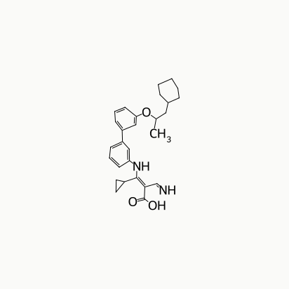 CC(CC1CCCCC1)Oc1cccc(-c2cccc(N/C(=C(\C=N)C(=O)O)C3CC3)c2)c1